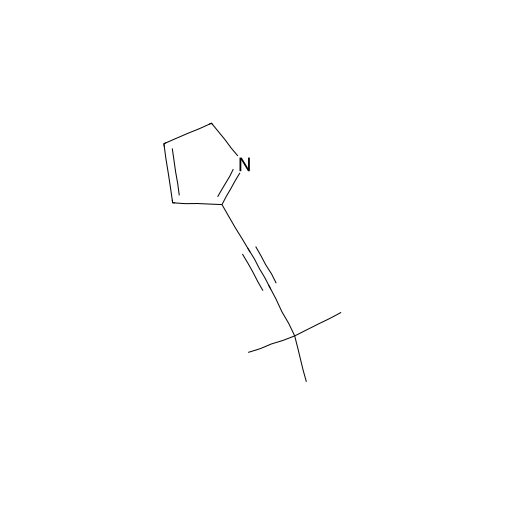 CC(C)(C)C#CC1=NCC=C1